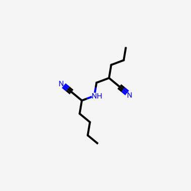 CCCCC(C#N)NCC(C#N)CCC